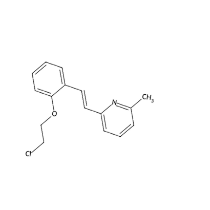 Cc1cccc(C=Cc2ccccc2OCCCl)n1